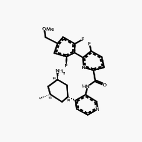 COCc1cc(F)c(-c2nc(C(=O)Nc3cnccc3[C@@H]3C[C@H](C)C[C@@H](N)C3)ccc2F)c(F)c1